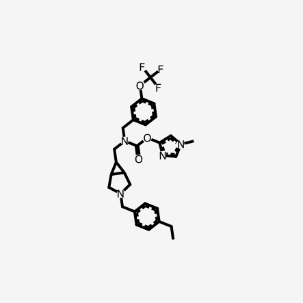 CCc1ccc(CN2CC3C(C2)C3CN(Cc2cccc(OC(F)(F)F)c2)C(=O)Oc2cn(C)cn2)cc1